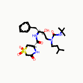 CC(C)CCN(C[C@@H](O)[C@H](Cc1ccccc1)NC(=O)[C@H]1CS(=O)(=O)CC(=O)N1)C(=O)NC(C)(C)C